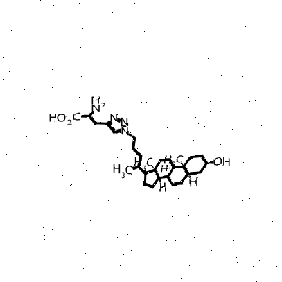 CC(CCCn1cc(CC(N)C(=O)O)nn1)C1CC[C@H]2C3CC[C@@H]4C[C@H](O)CC[C@]4(C)[C@@H]3CC[C@]12C